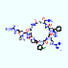 CC(=O)N[C@@H](CCCNC(=N)N)C(=O)N[C@H]1CCCNC(=O)CCC(C(N)=O)NC(=O)[C@H](Cc2c[nH]c3ccccc23)NC(=O)[C@H](CCCNC(=N)N)NC(=O)[C@@H](Cc2ccccc2F)NC(=O)[C@@H]2CCCN2C1=O